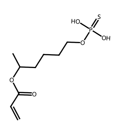 C=CC(=O)OC(C)CCCCOP(O)(O)=S